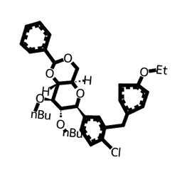 CCCCO[C@@H]1[C@@H](OCCCC)[C@H](c2ccc(Cl)c(Cc3ccc(OCC)cc3)c2)O[C@@H]2COC(c3ccccc3)O[C@@H]12